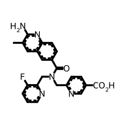 Cc1cc2cc(C(=O)N(Cc3ccc(C(=O)O)cn3)Cc3ncccc3F)ccc2nc1N